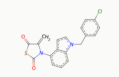 C=C1C(=O)SC(=O)N1c1cccc2c1ccn2Cc1ccc(Cl)cc1